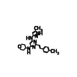 Cc1ccc(/C=C/c2nc(Nc3cc(C)[nH]n3)cc(NC3CCOCC3)n2)cc1